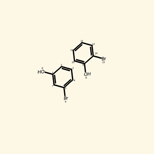 Oc1cccc(Br)c1.Oc1ccccc1Br